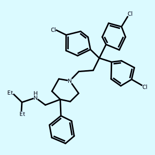 CCC(CC)NCC1(c2ccccc2)CCN(CCC(c2ccc(Cl)cc2)(c2ccc(Cl)cc2)c2ccc(Cl)cc2)CC1